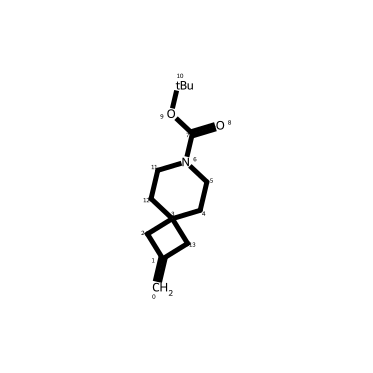 C=C1CC2(CCN(C(=O)OC(C)(C)C)CC2)C1